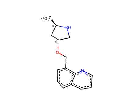 O=C(O)[C@@H]1C[C@@H](OCc2cccc3cccnc23)CN1